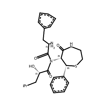 CC(C)C[C@H](O)C(=O)N(C(=O)[C@@H](N)Cc1ccccc1)[C@@H]1C(=O)NCCS[C@@H]1c1ccccc1